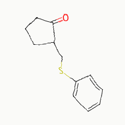 O=C1CCCC1CSc1ccccc1